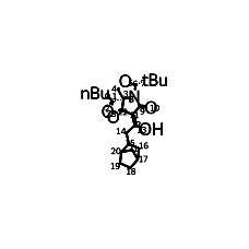 CCCCC(=O)[C@]12CO[C@H](C(C)(C)C)N1C(=O)/C(=C(\O)CC1CC3CCC1C3)C2=O